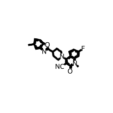 Cc1ccc2oc(C3CCN(c4c(C#N)c(=O)n(C)c5cc(F)ccc45)CC3)nc2c1